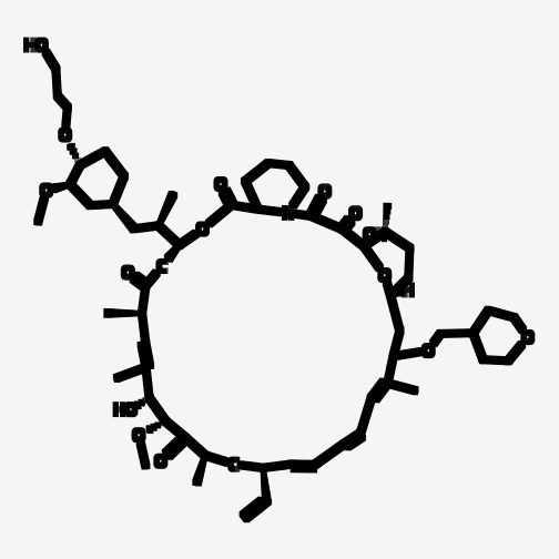 C=C[C@@H]1/C=C/C=C/C=C(\C)C(OCC2CCOCC2)C[C@@H]2CC[C@@H](C)[C@@](O)(O2)C(=O)C(=O)N2CCCCC2C(=O)O[C@H]([C@H](C)C[C@@H]2CC[C@@H](OCCCO)[C@H](OC)C2)CC(=O)[C@H](C)/C=C(\C)[C@@H](O)[C@@H](OC)C(=O)[C@H](C)C1